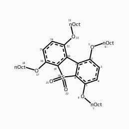 CCCCCCCCOc1ccc(OCCCCCCCC)c2c1-c1c(OCCCCCCCC)ccc(OCCCCCCCC)c1S2(=O)=O